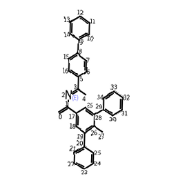 C=C(/N=C(\C)c1ccc(-c2ccccc2)cc1)c1cc(-c2ccccc2)c(C)c(-c2ccccc2)c1